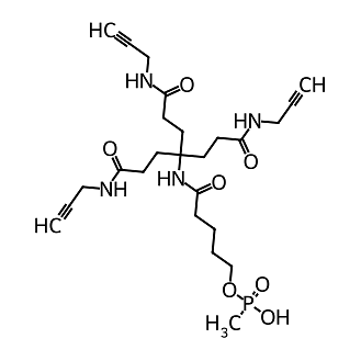 C#CCNC(=O)CCC(CCC(=O)NCC#C)(CCC(=O)NCC#C)NC(=O)CCCCOP(C)(=O)O